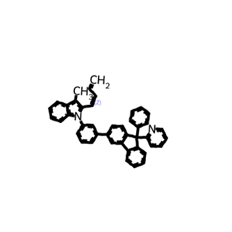 C=C/C=C\c1c(C)c2ccccc2n1-c1cccc(-c2ccc3c(c2)-c2ccccc2C3(c2ccccc2)c2ccccn2)c1